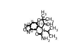 CC(C)N(C(N)=O)C1c2cc3nonc3cc2OC(C)(C)C1O